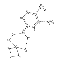 Nc1nc(N2CCC3(CCC3)CC2)ccc1[N+](=O)[O-]